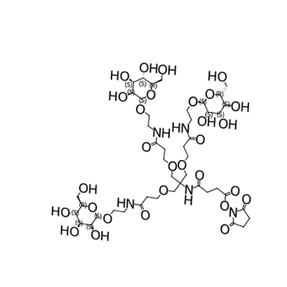 O=C(CCOCC(COCCC(=O)NCCO[C@H]1O[C@H](CO)[C@@H](O)[C@H](O)[C@@H]1O)(COCCC(=O)NCCO[C@H]1O[C@H](CO)[C@@H](O)[C@H](O)[C@@H]1O)NC(=O)CCC(=O)ON1C(=O)CCC1=O)NCCO[C@H]1O[C@H](CO)[C@@H](O)[C@H](O)[C@@H]1O